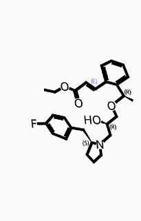 CCOC(=O)/C=C/c1ccccc1[C@@H](C)OC[C@H](O)CN1CCC[C@H]1Cc1ccc(F)cc1